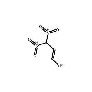 CCCC=CC([SH](=O)=O)[SH](=O)=O